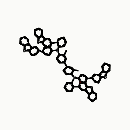 Cc1cc(-c2ccc(N(c3ccc(-c4ccc5oc6ccccc6c5c4)cc3)c3ccccc3-c3ccc4sc5ccccc5c4c3)c(C)c2)ccc1N(c1ccc(-c2ccc3oc4ccccc4c3c2)cc1)c1ccccc1-c1ccc2sc3ccccc3c2c1